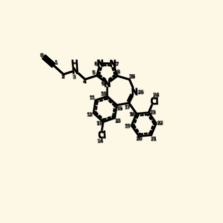 C#CCNCc1nnc2n1-c1ccc(Cl)cc1C(c1ccccc1Cl)=NC2